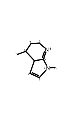 CC1CCN=C2C1C=CN2C